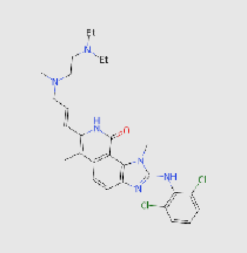 CCN(CC)CCN(C)C/C=C/c1[nH]c(=O)c2c(ccc3nc(Nc4c(Cl)cccc4Cl)n(C)c32)c1C